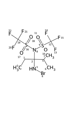 CCC(NBr)(C(C)C)N(S(=O)(=O)C(F)(F)F)S(=O)(=O)C(F)(F)F